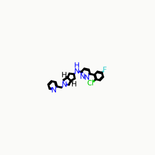 Fc1ccc(Cl)c(-c2ccc(NC3C[C@@H]4CN(Cc5ccccn5)C[C@@H]4C3)nn2)c1